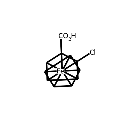 O=C(O)[C]12[CH]3[CH]4[CH]5[C]1(Cl)[Fe]45321678[CH]2[CH]1[CH]6[CH]7[CH]28